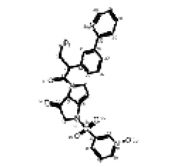 CC(C)CC(C(=O)N1CC=C2C1C(=O)CN2S(=O)(=O)c1ccc[n+]([O-])c1)c1cccc(-c2ccccn2)c1